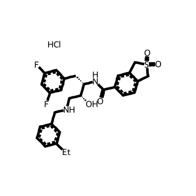 CCc1cccc(CNC[C@@H](O)[C@H](Cc2cc(F)cc(F)c2)NC(=O)c2ccc3c(c2)CS(=O)(=O)C3)c1.Cl